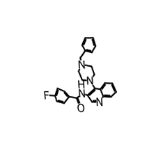 O=C(Nc1cnc2ccccc2c1N1CCN(Cc2ccccc2)CC1)c1ccc(F)cc1